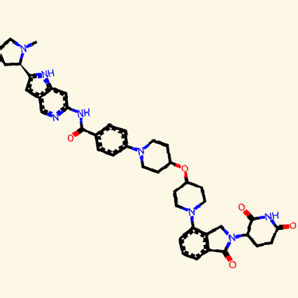 CN1CCC[C@@H]1c1cc2cnc(NC(=O)c3ccc(N4CCC(OC5CCN(c6cccc7c6CN(C6CCC(=O)NC6=O)C7=O)CC5)CC4)cc3)cc2[nH]1